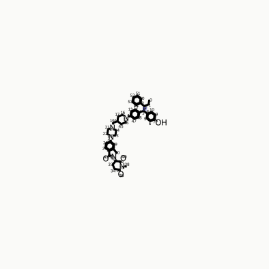 CC/C(=C(\c1ccc(O)cc1)c1ccc(N2CCC(CN3CCN(c4ccc5c(c4)CN(C4CCC(=O)N(C)C4=O)C5=O)CC3)CC2)cc1)c1ccccc1